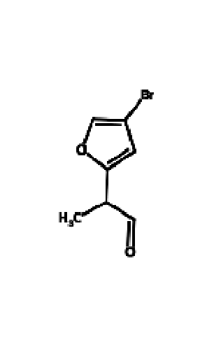 CC(C=O)c1cc(Br)co1